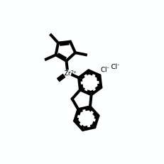 [CH2]=[Zr+2]([C]1=C(C)C(C)=CC1C)[c]1cccc2c1Cc1ccccc1-2.[Cl-].[Cl-]